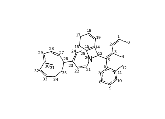 C/C=C\C(C)=C(\c1ccccc1C)C1C2=C(CCC=C2)N1/C=C\C(=C/C)C1\C=C/C=C(C)/C=C\CC1